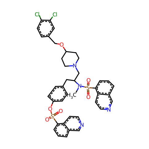 CN(C(Cc1ccc(OS(=O)(=O)c2cccc3cnccc23)cc1)CN1CCC(OCc2ccc(Cl)c(Cl)c2)CC1)S(=O)(=O)c1cccc2cnccc12